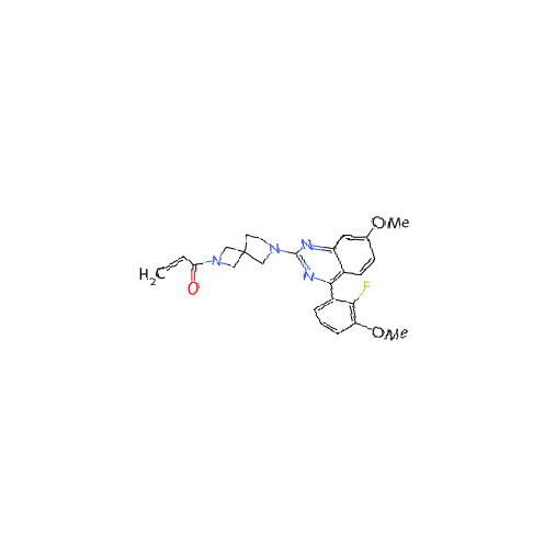 C=CC(=O)N1CC2(CCN(c3nc(-c4cccc(OC)c4F)c4ccc(OC)cc4n3)C2)C1